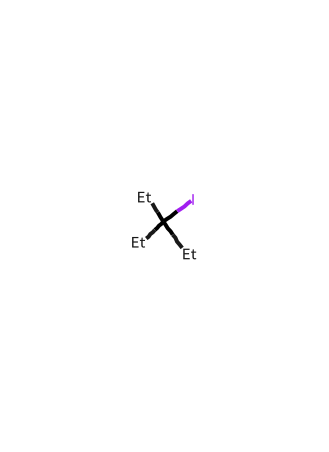 CCC(I)(CC)CC